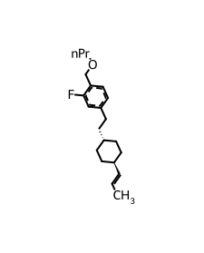 CC=C[C@H]1CC[C@H](CCc2ccc(COCCC)c(F)c2)CC1